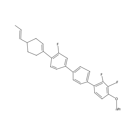 C/C=C/C1CC=C(c2ccc(-c3ccc(-c4ccc(OCCC)c(F)c4F)cc3)cc2F)CC1